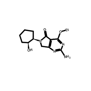 CCOc1nc(N)nc2c1C(=O)N([C@@H]1CCCC[C@@H]1O)C2